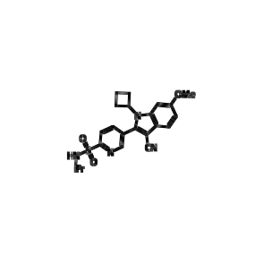 COc1ccc2c(C#N)c(-c3ccc(S(=O)(=O)NC(C)C)nc3)n(C3CCC3)c2c1